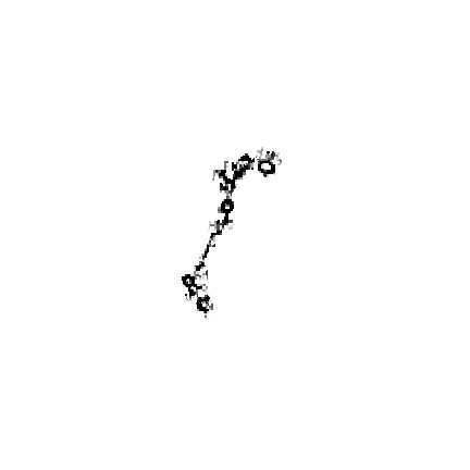 N[C@@H]1CCCC[C@@H]1Nc1ccn2nc(-c3cn(-c4ccc(C(=O)NCCOCCOCCNc5cccc6c5C(=O)N(C5CCC(=O)NC5=O)C6=O)cc4)nc3C(F)F)cc2n1